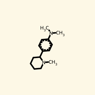 CN(C)c1ccc(C2CCCCN2C)cc1